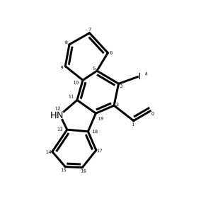 C=Cc1c(I)c2ccccc2c2[nH]c3ccccc3c12